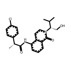 CC(C)[C@H](CO)n1ccc2c(NC(=O)[C@H](C)c3ccc(Cl)cc3)cccc2c1=O